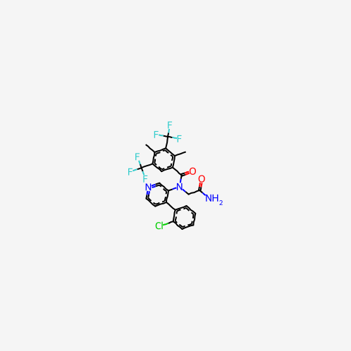 Cc1c(C(=O)N(CC(N)=O)c2cnccc2-c2ccccc2Cl)cc(C(F)(F)F)c(C)c1C(F)(F)F